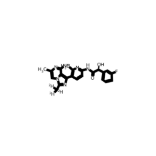 [2H]C([2H])([2H])c1nc(-c2ccc(NC(=O)[C@@H](O)c3cccc(F)c3)nc2C)c2c(N)nc(C)cn12